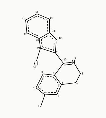 Cc1ccc2c(c1)CCN=C2c1sc2ccccc2c1Cl